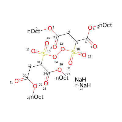 CCCCCCCCOC(=O)CC(C(=O)OCCCCCCCC)S(=O)(=O)OOS(=O)(=O)C(CC(=O)OCCCCCCCC)C(=O)OCCCCCCCC.[NaH].[NaH]